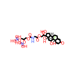 C[C@]12C=CC(=O)C=C1CC[C@H]1[C@@H]3C[C@@H](O)[C@](O)(C(=O)COC(=O)CNC(=O)OCC(CON(O)O)ON(O)O)[C@@]3(C)C[C@H](O)[C@@]12F